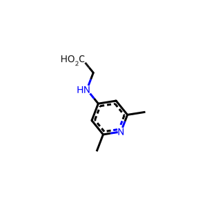 Cc1cc(NCC(=O)O)cc(C)n1